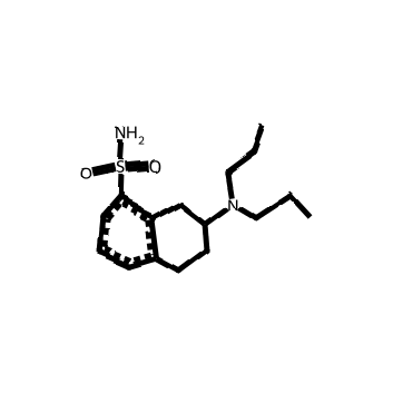 CCCN(CCC)C1CCc2cccc(S(N)(=O)=O)c2C1